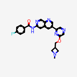 CN1CC(COc2cncc(-c3cnc4cnc(NC(=O)c5ccc(F)cc5)cc4c3)n2)C1